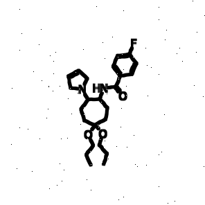 CCCOC1(OCCC)CCC(NC(=O)c2ccc(F)cc2)C(N2CC=CC2)CC1